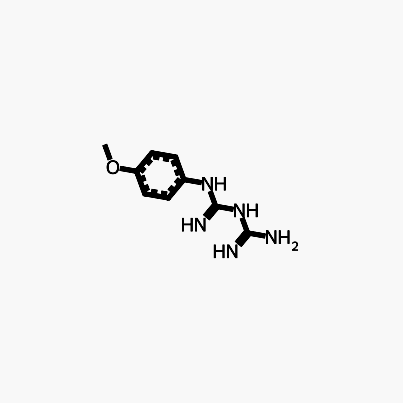 COc1ccc(NC(=N)NC(=N)N)cc1